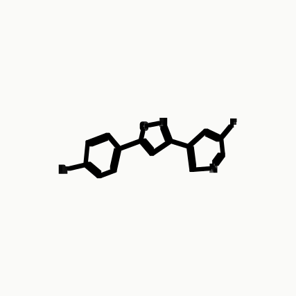 Fc1cncc(-c2cc(-c3ccc(Br)cc3)on2)c1